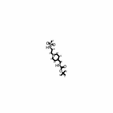 CC(C)(C)OC(=O)NCC1CCN(CCNS(C)(=O)=O)CC1